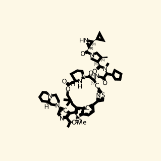 CCn1c(-c2cc(N3CCN4CCCC[C@@H]4C3)cnc2[C@H](C)OC)c2c3cc(ccc31)-c1csc(n1)C[C@H](NC(=O)[C@H](C1CCCC1)N(C)C(=O)[C@H]1CN(C(=O)[C@@H]3N[C@@H]3C3CC3)C[C@H]1C)C(=O)N1CCC[C@H](N1)C(=O)OCC(C)(C)C2